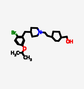 CC(C)Oc1ccc(Br)c(CC2CCN(CCC3CCC(CO)CC3)CC2)c1